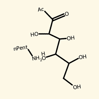 CC(=O)C(=O)C(O)C(O)C(O)C(O)CO.CCCCCN